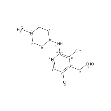 CN1CCC(N[n+]2ncc(Cl)c(CC=O)c2Cl)CC1